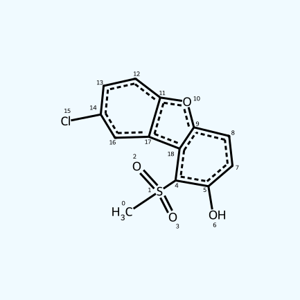 CS(=O)(=O)c1c(O)ccc2oc3ccc(Cl)cc3c12